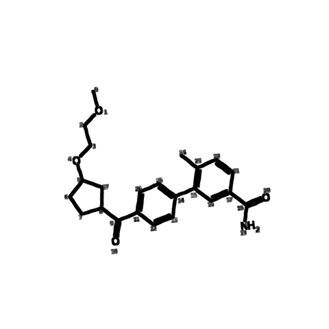 COCCOC1CCC(C(=O)c2ccc(-c3cc(C(N)=O)ccc3C)cc2)C1